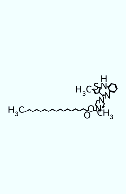 CCCCCCCCCCCCCCCCCC(=O)OC[N+]1(C)CCN(C2=Nc3ccccc3Nc3sc(C)cc32)CC1